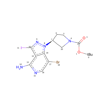 CC(C)(C)OC(=O)N1CC[C@H](n2nc(I)c3c(N)ncc(Br)c32)C1